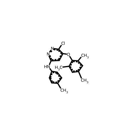 Cc1ccc(Nc2cc(Oc3c(C)cc(C)cc3C)c(Cl)nn2)cc1